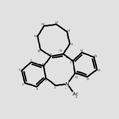 CC(=O)N1Cc2ccccc2/C2=C(/CCCCCC2)c2ccccc21